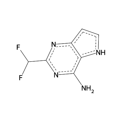 Nc1nc(C(F)F)nc2cc[nH]c12